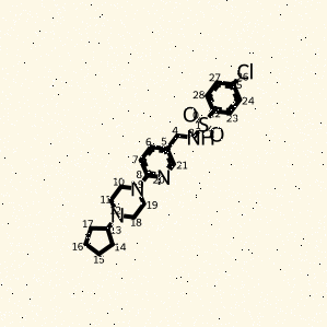 O=S(=O)(NCc1ccc(N2CCN(C3CCCC3)CC2)nc1)c1ccc(Cl)cc1